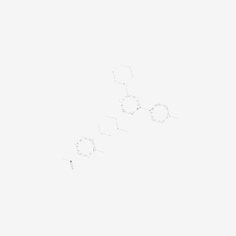 CC1CN(c2ncc(C(=O)O)nc2Cl)CCN1c1cc(-c2ccc(F)cc2)nc(N2CCOC[C@H]2C)n1